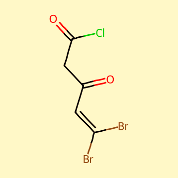 O=C(Cl)CC(=O)C=C(Br)Br